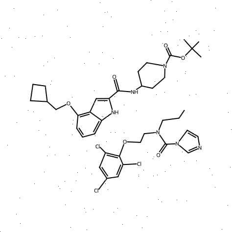 CC(C)(C)OC(=O)N1CCC(NC(=O)c2cc3c(OCC4CCC4)cccc3[nH]2)CC1.CCCN(CCOc1c(Cl)cc(Cl)cc1Cl)C(=O)n1ccnc1